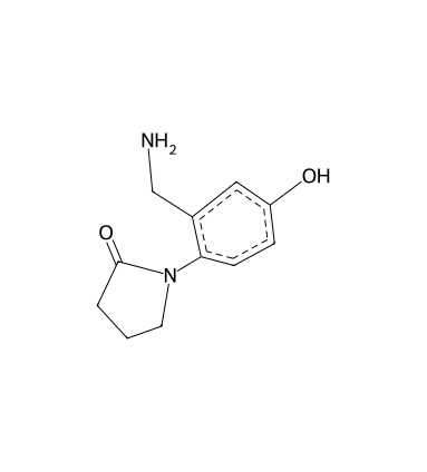 NCc1cc(O)ccc1N1CCCC1=O